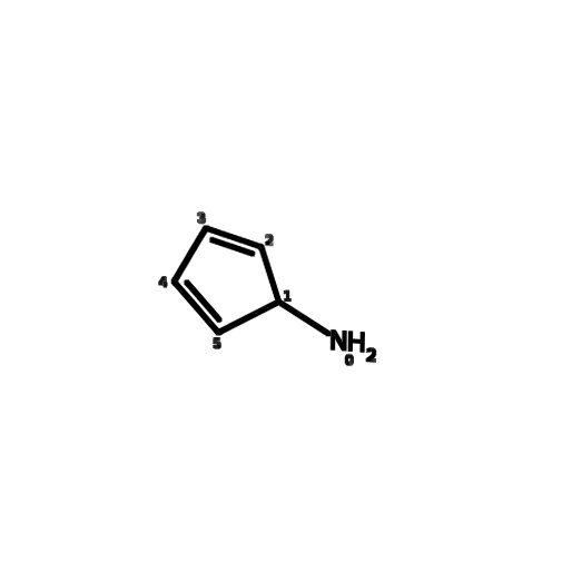 NC1C=CC=C1